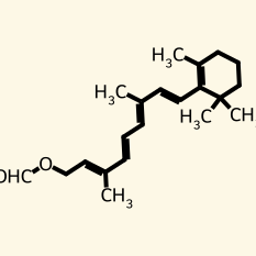 CC(C=CC1=C(C)CCCC1(C)C)=CC=CC(C)=CCOC=O